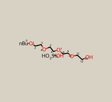 CCCCOCCOCCOCCOCCO.O=S(=O)(O)O